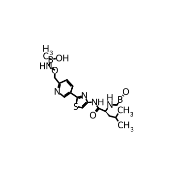 CB(O)NOCc1ccc(-c2nc(NC(=O)[C@H](CC(C)C)NCB=O)cs2)cn1